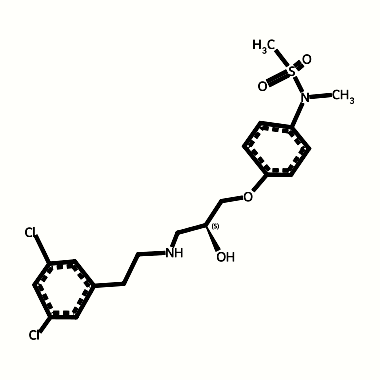 CN(c1ccc(OC[C@@H](O)CNCCc2cc(Cl)cc(Cl)c2)cc1)S(C)(=O)=O